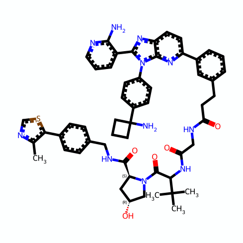 Cc1ncsc1-c1ccc(CNC(=O)[C@@H]2C[C@@H](O)CN2C(=O)C(NC(=O)CNC(=O)CCc2cccc(-c3ccc4nc(-c5cccnc5N)n(-c5ccc(C6(N)CCC6)cc5)c4n3)c2)C(C)(C)C)cc1